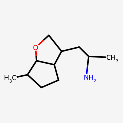 CC(N)CC1COC2C(C)CCC12